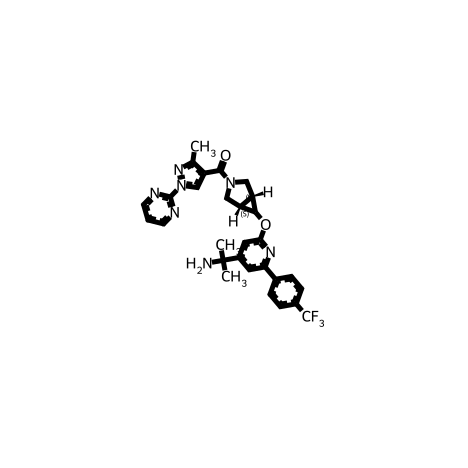 Cc1nn(-c2ncccn2)cc1C(=O)N1C[C@@H]2C(Oc3cc(C(C)(C)N)cc(-c4ccc(C(F)(F)F)cc4)n3)[C@@H]2C1